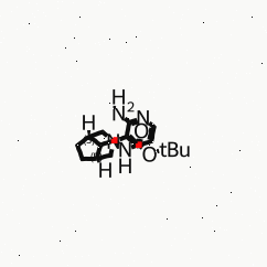 CC(C)(C)OC(=O)NCC1[C@@H]2CC[C@H]1CN(c1cccnc1N)C2